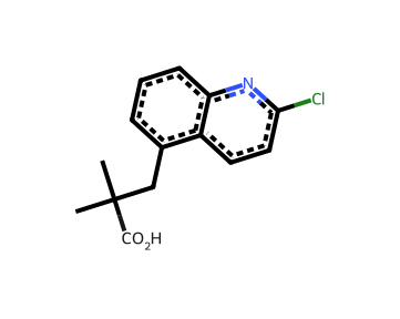 CC(C)(Cc1cccc2nc(Cl)ccc12)C(=O)O